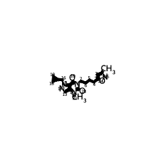 Cc1cc(CCCCn2c(=O)c3c(cnn3CC3CC3)n(C)c2=O)on1